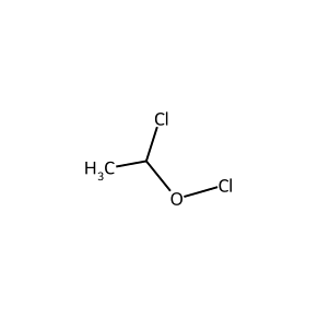 CC(Cl)OCl